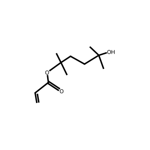 C=CC(=O)OC(C)(C)CCC(C)(C)O